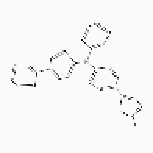 Cc1ccc(-c2ccc(N(c3ccccc3)c3ccc(-c4ccccc4)cc3)cc2)s1